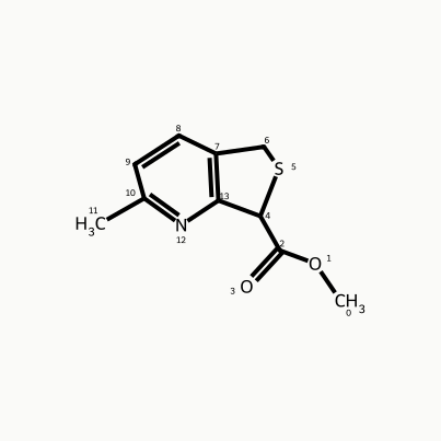 COC(=O)C1SCc2ccc(C)nc21